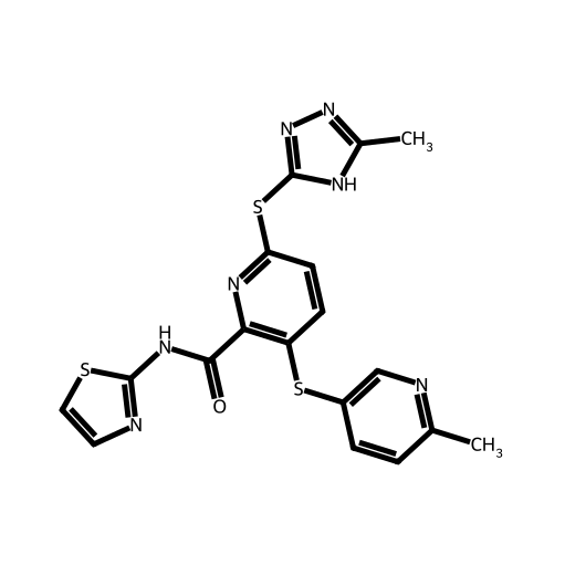 Cc1ccc(Sc2ccc(Sc3nnc(C)[nH]3)nc2C(=O)Nc2nccs2)cn1